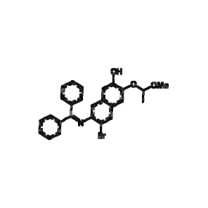 COC(C)Oc1cc2cc(Br)c(N=C(c3ccccc3)c3ccccc3)cc2cc1O